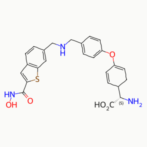 N[C@H](C(=O)O)C1C=CC(Oc2ccc(CNCc3ccc4cc(C(=O)NO)sc4c3)cc2)=CC1